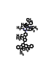 C=CC(=C(/C=C/C)C(=C)c1ccccc1C=C)/C(C=C)=C(\C=C\C)c1ccc2c(c1)C(C)(C)c1cc(-c3cc4c(c5cc6sc7ccccc7c6cc35)C(C)(C)c3ccccc3-4)ccc1-2